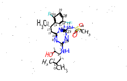 CC(C)C[C@H](CO)Nc1nc(C[C@H](C)c2cc(F)ccc2F)nc(NS(C)(=O)=O)n1